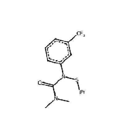 CC(C)SN(C(=O)N(C)C)c1cccc(C(F)(F)F)c1